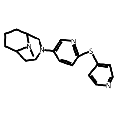 CN1C2CCCC1CN(c1ccc(Sc3ccncc3)nc1)CC2